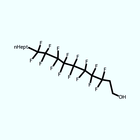 CCCCCCCC(F)(F)C(F)(F)C(F)(F)C(F)(F)C(F)(F)C(F)(F)C(F)(F)C(F)(F)CCO